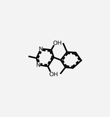 Cc1nc(O)c(-c2c(C)cccc2C)c(O)n1